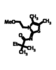 CCC(C)(C)C(=O)N=c1sc(C)c(C)n1CCOC